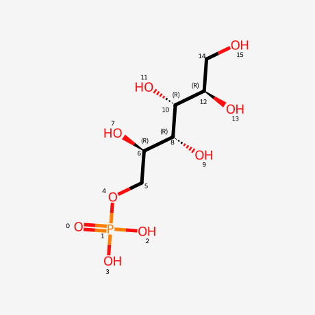 O=P(O)(O)OC[C@@H](O)[C@@H](O)[C@H](O)[C@H](O)CO